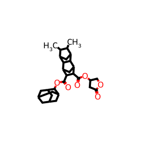 CC1C(C)C2CC1C1C3CC(C(C(=O)OC4C5CC6CC(C5)CC4C6)C3C(=O)OC3COC(=O)C3)C21